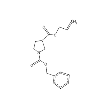 C=CCOC(=O)C1CCN(C(=O)OCc2ccccc2)C1